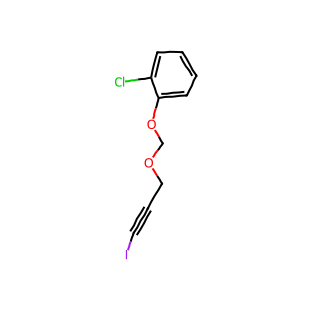 Clc1ccccc1OCOCC#CI